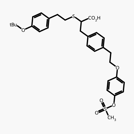 CC(C)(C)Oc1ccc(CCSC(Cc2ccc(CCOc3ccc(OS(C)(=O)=O)cc3)cc2)C(=O)O)cc1